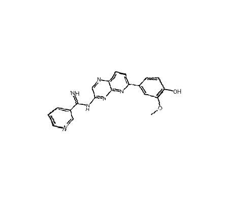 COc1cc(-c2ccc3ncc(NC(=N)c4cccnc4)nc3n2)ccc1O